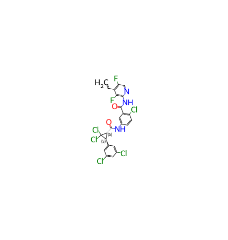 C=Cc1c(F)cnc(NC(=O)c2cc(NC(=O)[C@@H]3[C@@H](c4cc(Cl)cc(Cl)c4)C3(Cl)Cl)ccc2Cl)c1F